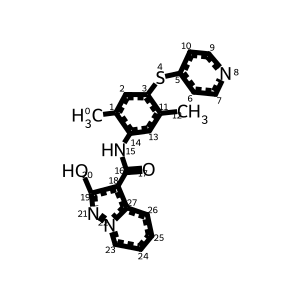 Cc1cc(Sc2ccncc2)c(C)cc1NC(=O)c1c(O)nn2ccccc12